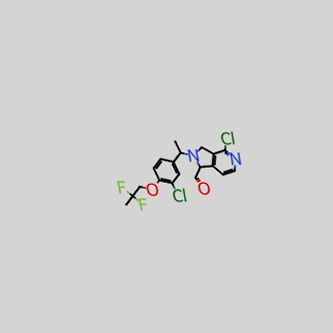 CC(c1ccc(OCC(C)(F)F)c(Cl)c1)N1Cc2c(ccnc2Cl)C1C=O